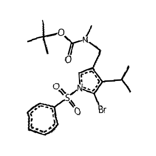 CC(C)c1c(CN(C)C(=O)OC(C)(C)C)cn(S(=O)(=O)c2ccccc2)c1Br